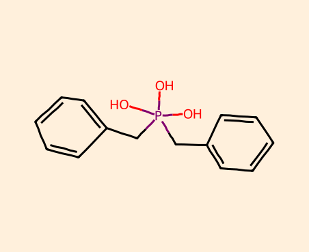 OP(O)(O)(Cc1ccccc1)Cc1ccccc1